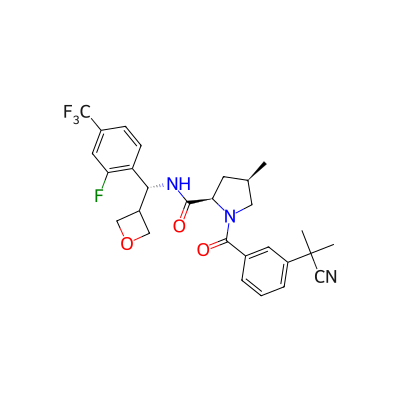 C[C@@H]1C[C@H](C(=O)N[C@@H](c2ccc(C(F)(F)F)cc2F)C2COC2)N(C(=O)c2cccc(C(C)(C)C#N)c2)C1